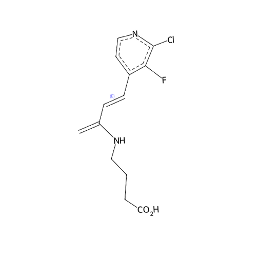 C=C(/C=C/c1ccnc(Cl)c1F)NCCCC(=O)O